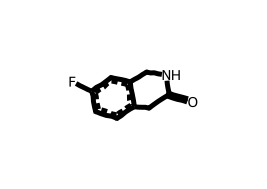 O=C1Cc2ccc(F)cc2CN1